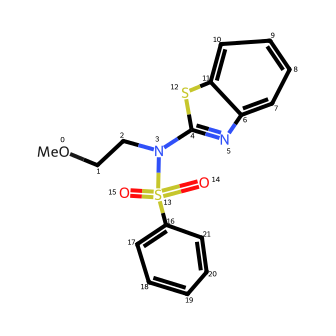 COCCN(c1nc2ccccc2s1)S(=O)(=O)c1ccccc1